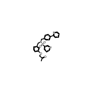 CC(=O)COc1cccc(CN(Cc2ccc(-c3ccccn3)cc2)S(=O)(=O)c2cccnc2)c1